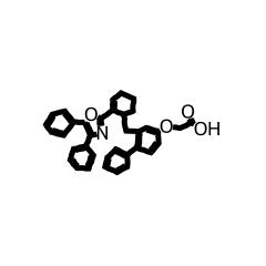 O=C(O)COc1ccc(-c2ccccc2)c(CC2CCCC=C2c2nc(-c3ccccc3)c(-c3ccccc3)o2)c1